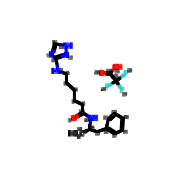 O=C(CCCCCNc1nc[nH]n1)N[C@@H](Cc1ccccc1)C(=O)O.O=C(O)C(F)(F)F